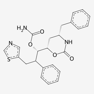 NC(=O)O[C@@H](C(Cc1cncs1)c1ccccc1)[C@@H]1C[C@H](Cc2ccccc2)NC(=O)O1